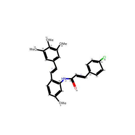 COc1ccc(/C=C/c2cc(OC)c(OC)c(OC)c2)c(NC(=O)/C=C/c2ccc(Cl)cc2)c1